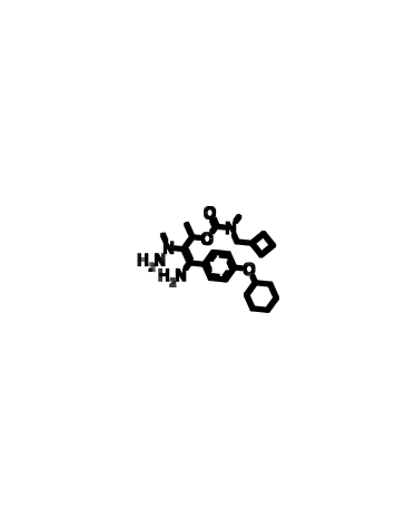 CC(OC(=O)N(C)CC1CCC1)/C(=C(/N)c1ccc(OC2CCCCC2)cc1)N(C)N